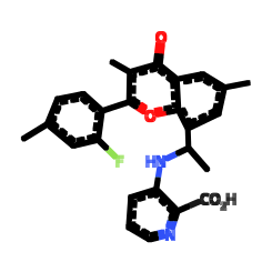 Cc1ccc(-c2oc3c(C(C)Nc4cccnc4C(=O)O)cc(C)cc3c(=O)c2C)c(F)c1